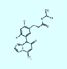 CC(Cl)OC(=O)CCc1cc(-n2c(=O)cc(C(F)(F)F)n3ccnc23)c(F)cc1Cl